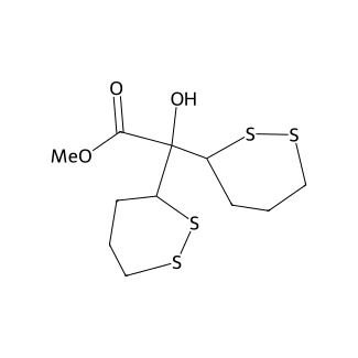 COC(=O)C(O)(C1CCCSS1)C1CCCSS1